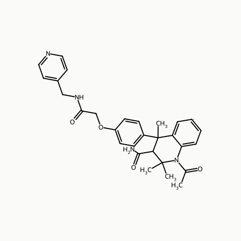 CC(=O)N1c2cc[c]cc2C(C)(c2ccc(OCC(=O)NCc3ccncc3)cc2)C(C(N)=O)C1(C)C